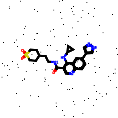 O=C(NCCC1CCS(=O)(=O)CC1)c1cnc2ccc(-c3cn[nH]c3)cc2c1NC1CC1